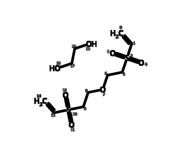 C=CS(=O)(=O)CCOCCS(=O)(=O)C=C.OCCO